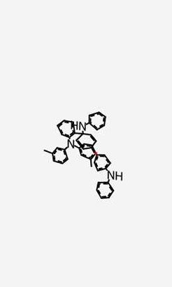 Cc1cccc(N(c2cccc(C)c2)c2ccccc2C2(Nc3ccccc3)C=CC(c3ccc(Nc4ccccc4)cc3)C=C2)c1